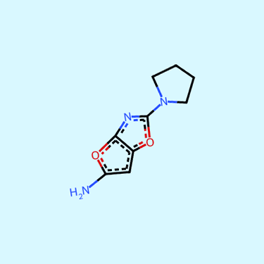 Nc1cc2oc(N3CCCC3)nc2o1